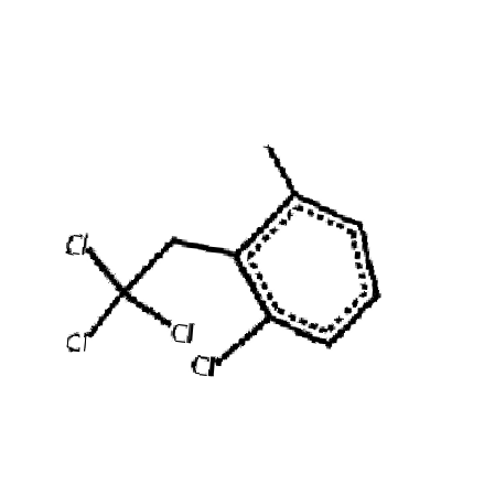 Cc1cccc(Cl)c1CC(Cl)(Cl)Cl